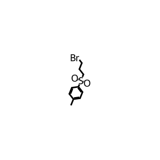 Cc1ccc(S(=O)(=O)CCCBr)cc1